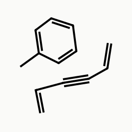 C=CC#CC=C.Cc1ccccc1